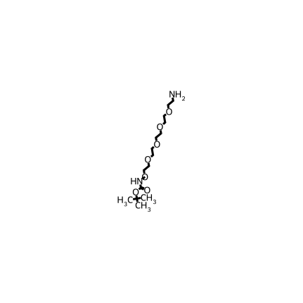 CC(C)(C)OC(=O)NOCCOCCOCCOCCOCCN